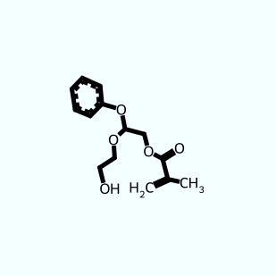 C=C(C)C(=O)OCC(OCCO)Oc1ccccc1